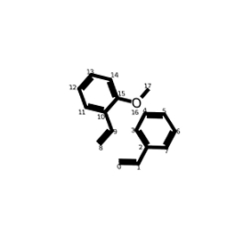 C=Cc1ccccc1.C=Cc1ccccc1OC